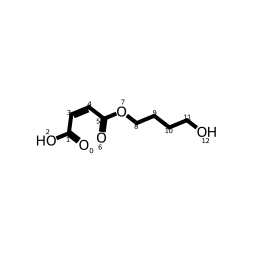 O=C(O)/C=C\C(=O)OCCCCO